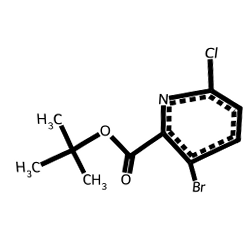 CC(C)(C)OC(=O)c1nc(Cl)ccc1Br